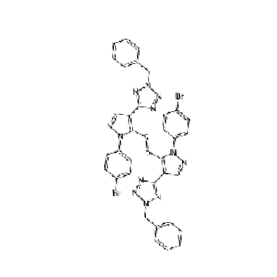 Brc1ccc(-n2ncc(-c3nnn(Cc4ccccc4)n3)c2SSc2c(-c3nnn(Cc4ccccc4)n3)cnn2-c2ccc(Br)cc2)cc1